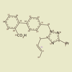 C/C=C/Cc1nc(C(C)C)nn1Cc1ccc(-c2ccccc2C(=O)O)cc1